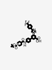 CC(C)(C)OC(=O)N1CCC(C(=O)Nc2ccc(-c3cc(C(=O)O)cc(-n4cc(-c5ccc(C(F)(F)F)cc5)nn4)c3)cc2)CC1